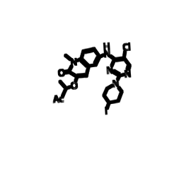 CC(=O)C(C)Oc1cc2cc(Nc3nc(N4CCC(I)CC4)ncc3Cl)ccc2n(C)c1=O